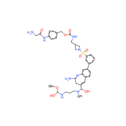 CCCN(CCCNC(O)OC(C)(C)C)C(O)C1=Cc2ccc(-c3cccc(S(=O)(=O)N4CC(CNC(=O)OCc5ccc(NC(=O)CN)cc5)C4)c3)cc2N=C(N)C1